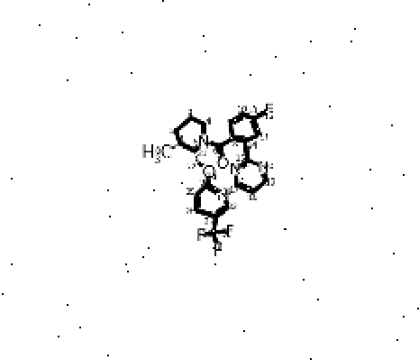 C[C@@H]1CCCN(C(=O)c2ccc(F)cc2-c2ncccn2)[C@@H]1COc1ccc(C(F)(F)F)cn1